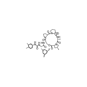 Cc1ccc(NC(=O)N[C@@H](Cc2cc(F)cc(F)c2)C(=O)N[C@H]2COC(=O)C3C[C@H](C)CN3C(=O)[C@H](C)NC(=O)[C@@H]3CCCCN3C(=O)C3CCCN3C2=O)cc1C